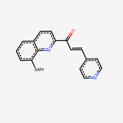 CNc1cccc2ccc(C(=O)C=Cc3ccncc3)nc12